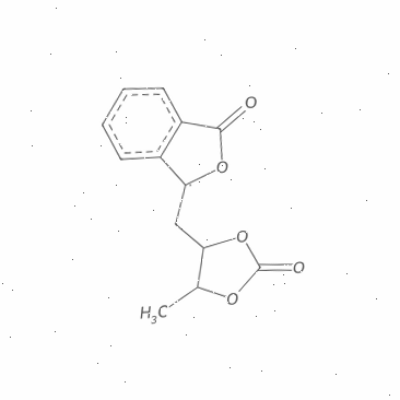 CC1OC(=O)OC1C[C]1OC(=O)c2ccccc21